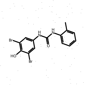 Cc1ccccc1NC(=O)Nc1cc(Br)c(O)c(Br)c1